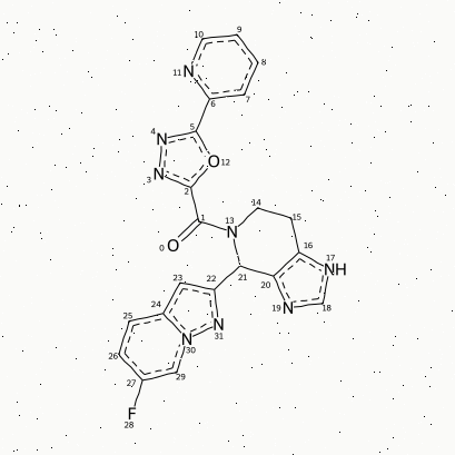 O=C(c1nnc(-c2ccccn2)o1)N1CCc2[nH]cnc2C1c1cc2ccc(F)cn2n1